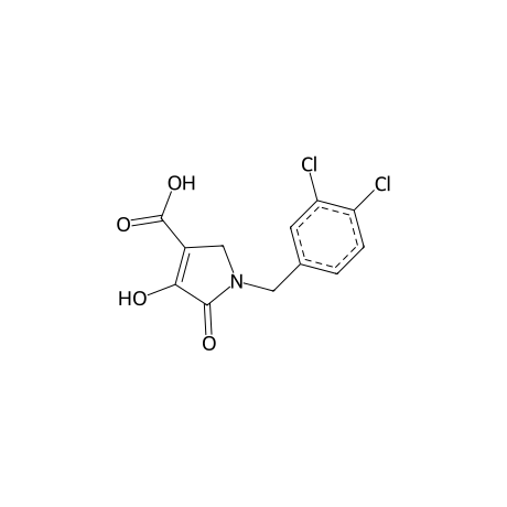 O=C(O)C1=C(O)C(=O)N(Cc2ccc(Cl)c(Cl)c2)C1